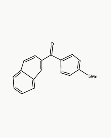 CSc1ccc(C(=O)c2ccc3ccccc3c2)cc1